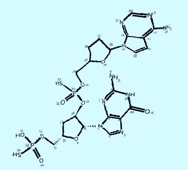 Nc1nc2c(ncn2[C@@H]2O[C@H](COP(=O)(O)S)C[C@H]2OP(=O)(S)OCC2CCC(n3ccc4c(N)ncnc43)O2)c(=O)[nH]1